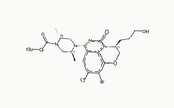 C[C@@H]1CN(c2nc(=O)n3c4c(c(Br)c(Cl)cc24)OC[C@@H]3CCCO)[C@@H](C)CN1C(=O)OC(C)(C)C